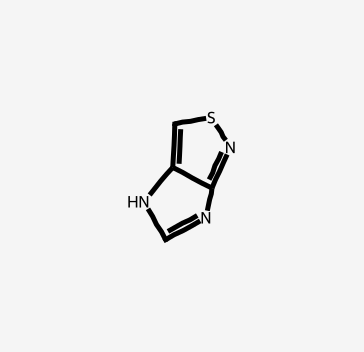 c1nc2nscc2[nH]1